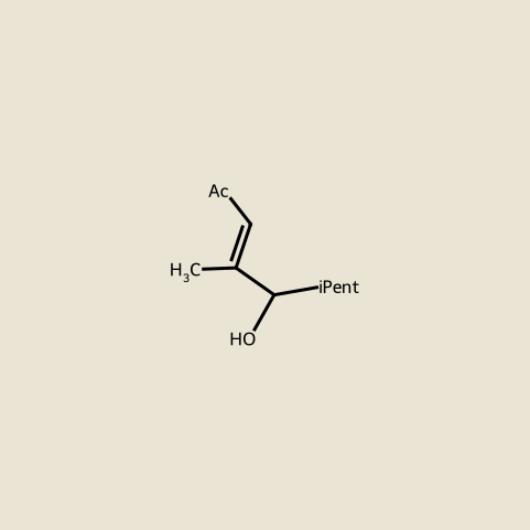 CCCC(C)C(O)C(C)=CC(C)=O